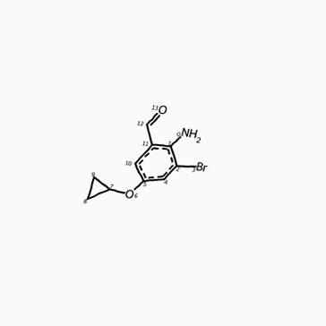 Nc1c(Br)cc(OC2CC2)cc1C=O